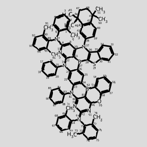 Cc1ccccc1N(c1cc2c3c(n1)N(c1ccccc1)c1cc4c(cc1B3c1sc3ccccc3c1N2c1ccc2c(c1)C(C)(C)CCC2(C)C)B1c2ccccc2Oc2nc(N(c3ccccc3C)c3c(C)cccc3C)nc(c21)N4c1ccccc1)c1c(C)cccc1C